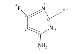 Nc1cc(F)nc(F)n1